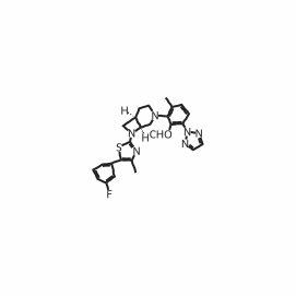 Cc1ccc(-n2nccn2)c(C=O)c1N1CC[C@@H]2CN(c3nc(C)c(-c4cccc(F)c4)s3)[C@@H]2C1